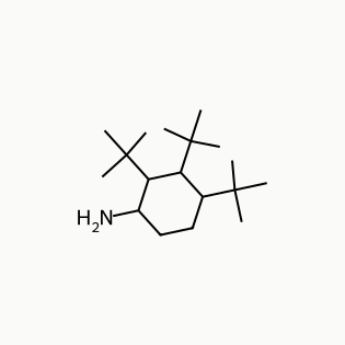 CC(C)(C)C1CCC(N)C(C(C)(C)C)C1C(C)(C)C